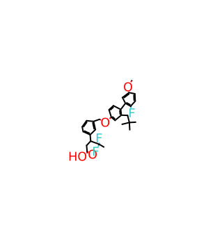 COc1ccc(F)c(-c2ccc(OCc3cccc(C(CC(=O)O)C(C)(F)F)c3)cc2CC(C)(C)C)c1